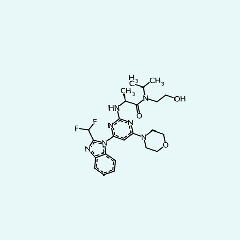 CC(C)N(CCO)C(=O)[C@H](C)Nc1nc(N2CCOCC2)cc(-n2c(C(F)F)nc3ccccc32)n1